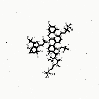 CN(CCOP(=O)(O)O)C(=O)N(c1nn(CC(F)(F)F)c2c(-c3ccc(CCC(C)(C)S(C)(=O)=O)nc3[C@H](Cc3cc(F)cc(F)c3)NC(=O)Cn3nc(C(F)(F)F)c4c3C(F)(F)C3C[C@H]43)ccc(Cl)c12)S(C)(=O)=O